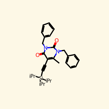 Cc1c(C#C[Si](C(C)C)(C(C)C)C(C)C)c(=O)n(Cc2ccccc2)c(=O)n1Cc1ccccc1